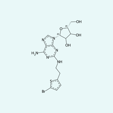 Nc1nc(NCCc2ccc(Br)s2)nc2c1ncn2[C@@H]1O[C@H](CO)C(O)C1O